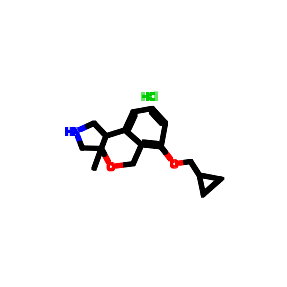 CC12CNCC1c1cccc(OCC3CC3)c1CO2.Cl